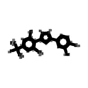 CC(=O)c1cc(-c2cc(-c3c(Cl)cc(C(F)(C(F)(F)F)C(F)(F)F)cc3C(F)(F)F)no2)ccc1Cl